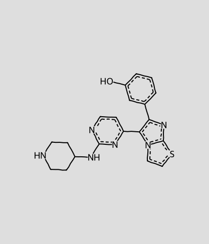 Oc1cccc(-c2nc3sccn3c2-c2ccnc(NC3CCNCC3)n2)c1